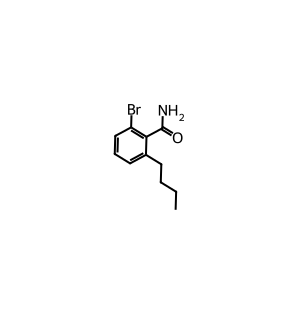 CCCCc1cccc(Br)c1C(N)=O